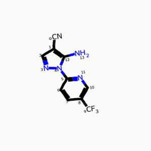 N#Cc1cnn(-c2ccc(C(F)(F)F)cn2)c1N